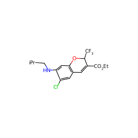 CCOC(=O)C1=Cc2cc(Cl)c(NCC(C)C)cc2OC1C(F)(F)F